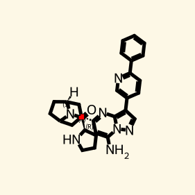 Nc1cc([C@@H]2CC3CC[C@@H](C2)N3C(=O)[C@H]2CCCN2)nc2c(-c3ccc(-c4ccccc4)nc3)cnn12